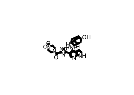 O=C(c1noc(-c2cnc3[nH]ccc3c2N[C@H]2[C@@H]3CC4C[C@H]2C[C@@](O)(C4)C3)n1)N1CCS(=O)(=O)CC1